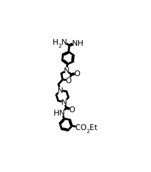 CCOC(=O)c1cccc(NC(=O)N2CCN(CC3CN(c4ccc(C(=N)N)cc4)C(=O)O3)CC2)c1